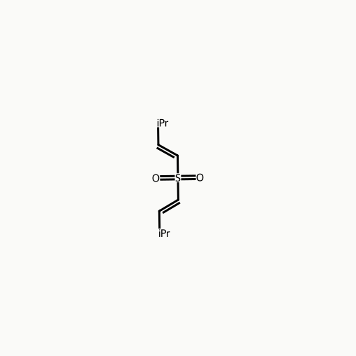 CC(C)C=CS(=O)(=O)C=CC(C)C